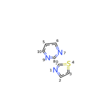 [c]1nccs1.c1cncnc1